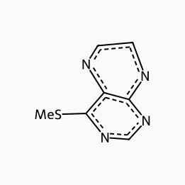 CSc1ncnc2nccnc12